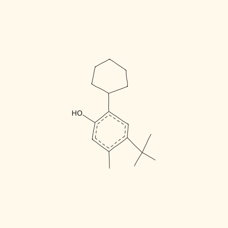 Cc1cc(O)c(C2CCCCC2)cc1C(C)(C)C